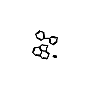 C#C.c1cc2c3c(cccc3c1)CC2.c1ccc(-c2ccccc2)cc1